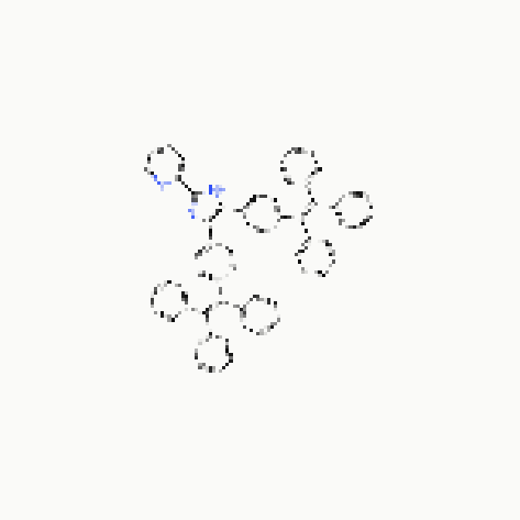 c1ccc(C(=C(c2ccccc2)c2ccc(-c3nc(-c4ccccn4)[nH]c3-c3ccc(C(=C(c4ccccc4)c4ccccc4)c4ccccc4)cc3)cc2)c2ccccc2)cc1